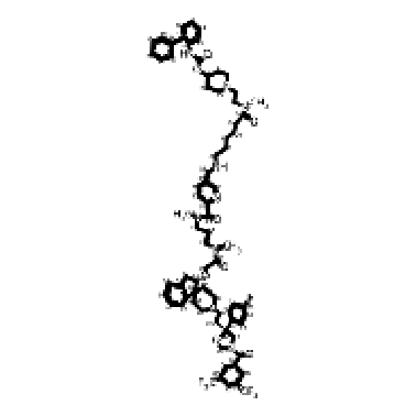 CN(CCN1CCC(OC(=O)Nc2ccccc2-c2ccccc2)CC1)C(=O)CCCCCNCc1ccc(C(=O)N(C)CCCN(C)C(=O)CO[C@H]2Cc3ccccc3C23CCN(CC[C@@]2(c4ccc(F)cc4)CN(C(=O)c4cc(C(F)(F)F)cc(C(F)(F)F)c4)CO2)CC3)nc1